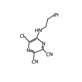 CC(C)CCNc1nc(C#N)c(C#N)nc1Cl